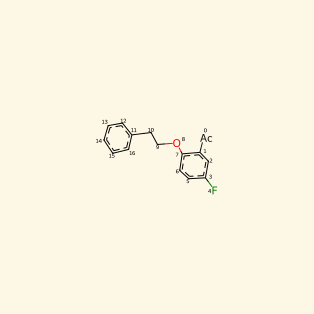 CC(=O)c1cc(F)ccc1OCCc1ccccc1